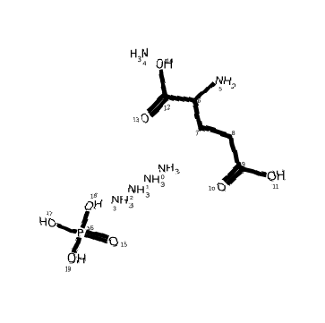 N.N.N.N.N.NC(CCC(=O)O)C(=O)O.O=P(O)(O)O